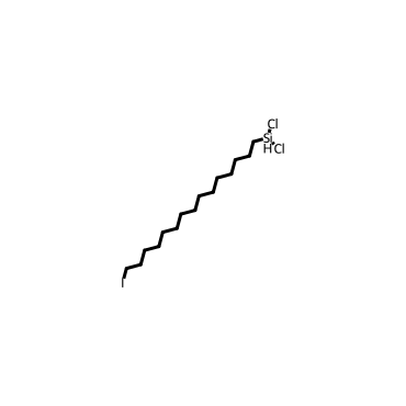 Cl[SiH](Cl)CCCCCCCCCCCCCCCI